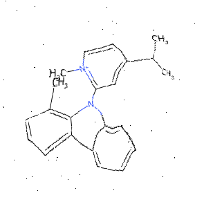 Cc1cccc2c3ccccc3n(-c3cc(C(C)C)cc[n+]3C)c12